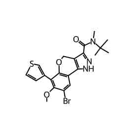 COc1c(Br)cc2c(c1-c1ccsc1)OCc1c(C(=O)N(C)C(C)(C)C)n[nH]c1-2